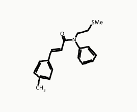 CSCCN(C(=O)C=Cc1ccc(C)cc1)c1ccccc1